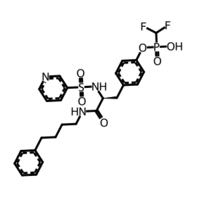 O=C(NCCCCc1ccccc1)[C@H](Cc1ccc(OP(=O)(O)C(F)F)cc1)NS(=O)(=O)c1cccnc1